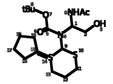 CC(=O)NC(CO)N(C(=O)OC(C)(C)C)C1SCCCS1=C1CCCC1